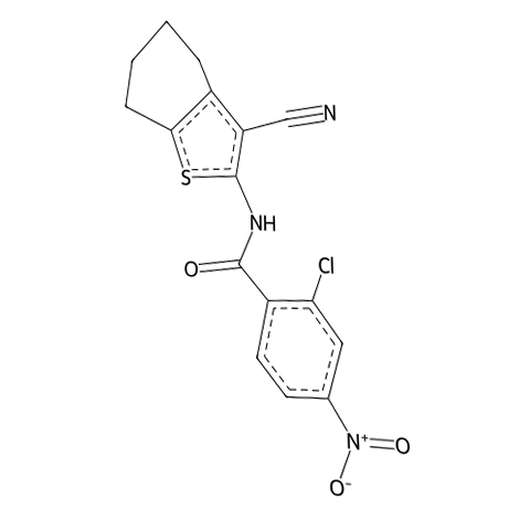 N#Cc1c(NC(=O)c2ccc([N+](=O)[O-])cc2Cl)sc2c1CCCC2